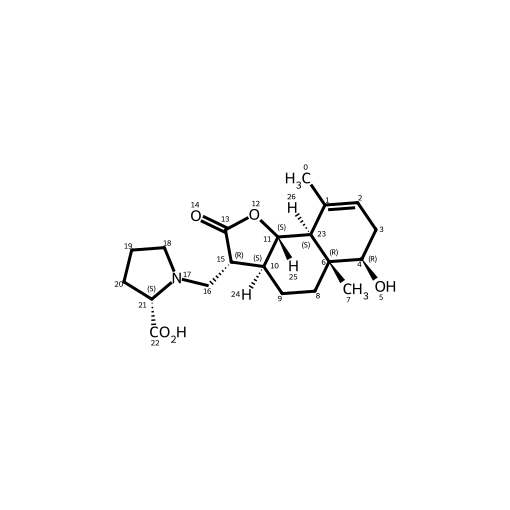 CC1=CC[C@@H](O)[C@]2(C)CC[C@@H]3[C@H](OC(=O)[C@H]3CN3CCC[C@H]3C(=O)O)[C@@H]12